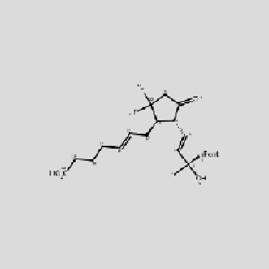 CCCCC[C@](C)(O)C=C[C@H]1C(=O)CC(F)(F)[C@@H]1CC=CCCCC(=O)O